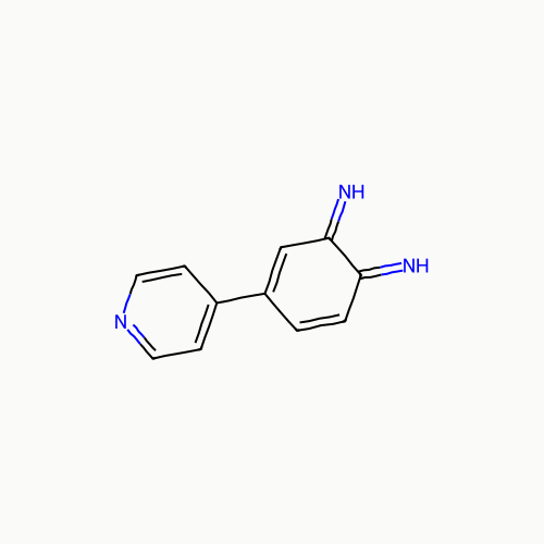 N=C1C=CC(c2ccncc2)=CC1=N